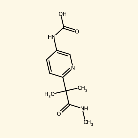 CNC(=O)C(C)(C)c1ccc(NC(=O)O)cn1